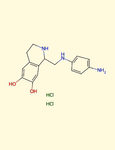 Cl.Cl.Nc1ccc(NCC2NCCc3cc(O)c(O)cc32)cc1